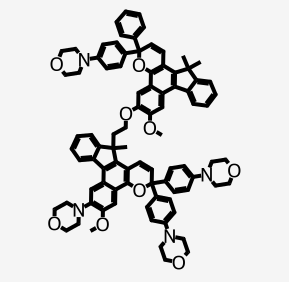 COc1cc2c3c(c4c(c2cc1OCCC1(C)c2ccccc2-c2c1c1c(c5cc(OC)c(N6CCOCC6)cc25)OC(c2ccc(N5CCOCC5)cc2)(c2ccc(N5CCOCC5)cc2)C=C1)OC(c1ccccc1)(c1ccc(N2CCOCC2)cc1)C=C4)C(C)(C)c1ccccc1-3